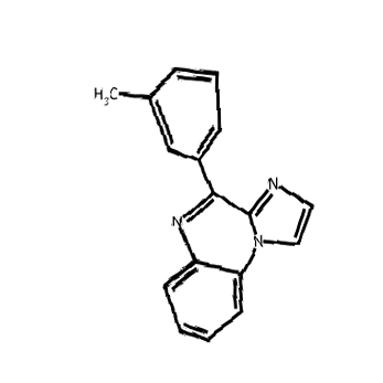 Cc1cccc(-c2nc3ccccc3n3ccnc23)c1